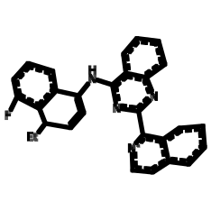 CCC1C=C=C(Nc2nc(-c3nccc4ccccc34)nc3ccccc23)c2cccc(F)c21